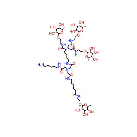 C[C@@H]1O[C@@H](OCCNC(=O)CCCCCNC(=O)CN(CC(=O)NCCCCCN)CC(=O)NCCCCC(C(=O)NCCO[C@@H]2O[C@@H](C)[C@@H](O)[C@@H](O)[C@@H]2O)N(CC(=O)NCCO[C@@H]2O[C@@H](C)[C@@H](O)[C@@H](O)[C@@H]2O)CC(=O)NCCO[C@H]2O[C@@H](C)[C@@H](O)[C@@H](O)[C@@H]2O)[C@@H](O)[C@H](O)[C@@H]1O